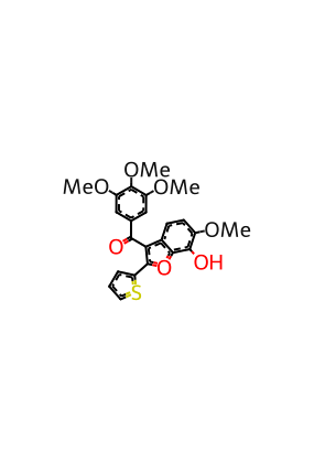 COc1cc(C(=O)c2c(-c3cccs3)oc3c(O)c(OC)ccc23)cc(OC)c1OC